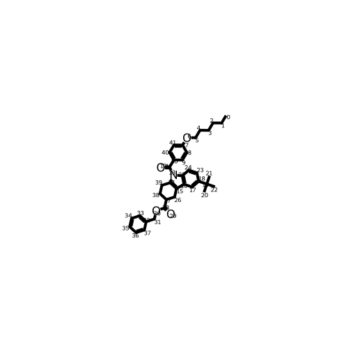 CCCCCCOc1ccc(C(=O)n2c3c(c4cc(C(C)(C)C)ccc42)CC(C(=O)OCc2ccccc2)CC3)cc1